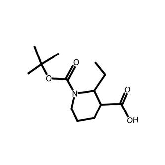 CCC1C(C(=O)O)CCCN1C(=O)OC(C)(C)C